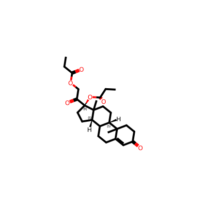 CCC(=O)OCC(=O)[C@@]1(OC(=O)CC)CC[C@H]2C3CCC4=CC(=O)CCC4(C)[C@H]3CCC21C